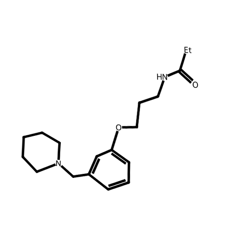 CCC(=O)NCCCOc1cccc(CN2CCCCC2)c1